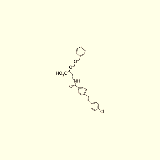 O=C(NCCC(OCOCc1ccccc1)C(=O)O)c1ccc(/C=C/c2ccc(Cl)cc2)cc1